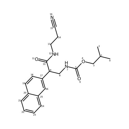 CC(C)COC(=O)NCC(C(=O)NCCC#N)c1ccc2ccccc2c1